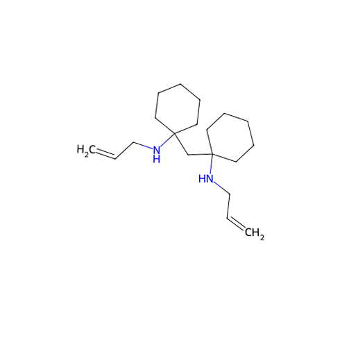 C=CCNC1(CC2(NCC=C)CCCCC2)CCCCC1